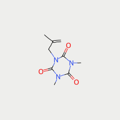 C=C(C)Cn1c(=O)n(C)c(=O)n(C)c1=O